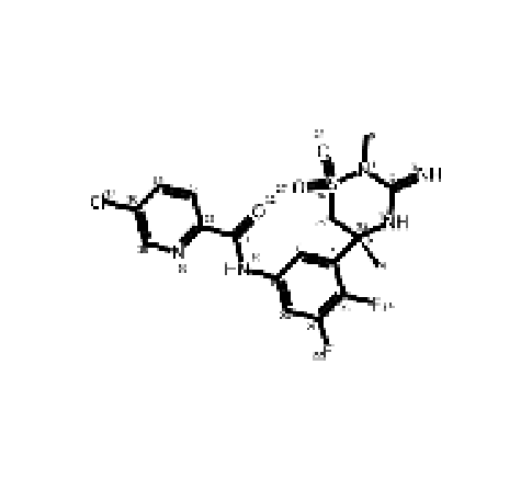 CN1C(=N)N[C@](C)(c2cc(NC(=O)c3ccc(Cl)cn3)cc(F)c2F)CS1(=O)=O